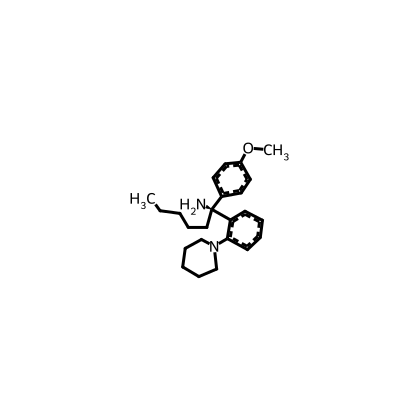 CCCCC[C@](N)(c1ccc(OC)cc1)c1ccccc1N1CCCCC1